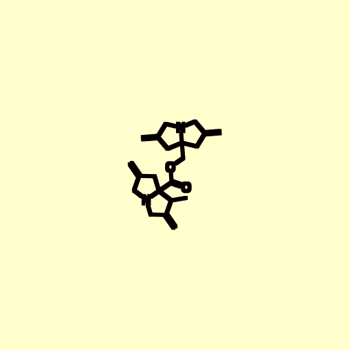 C=C1CN2CC(=C)CC2(COC(=O)C23CC(=C)CN2CC(=C)C3C)C1